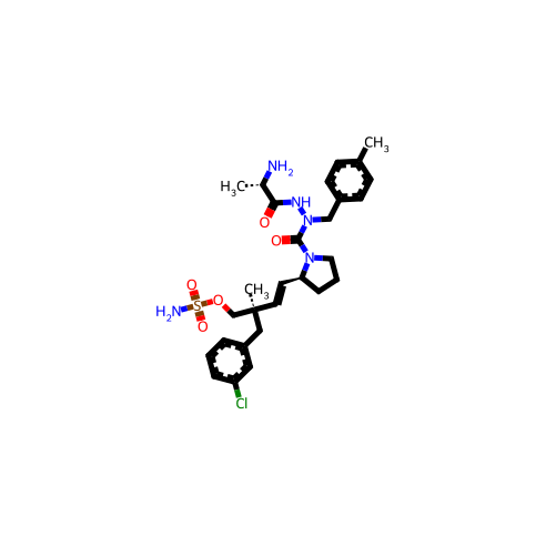 Cc1ccc(CN(NC(=O)[C@H](C)N)C(=O)N2CCC[C@H]2/C=C/[C@](C)(COS(N)(=O)=O)Cc2cccc(Cl)c2)cc1